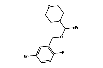 CCCC(OCc1cc(Br)ccc1F)N1CCOCC1